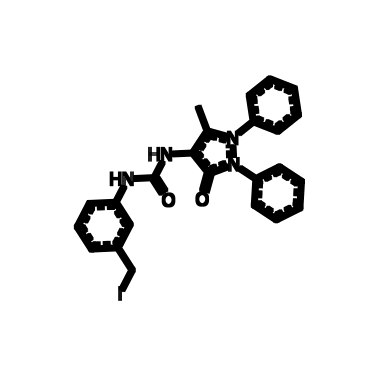 Cc1c(NC(=O)Nc2cccc(CI)c2)c(=O)n(-c2ccccc2)n1-c1ccccc1